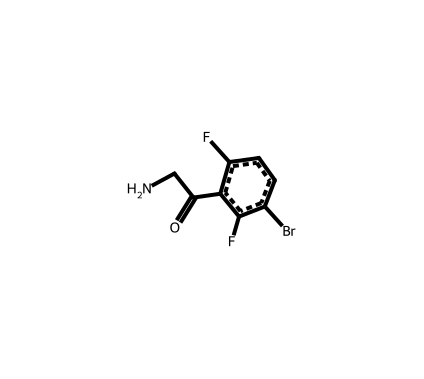 NCC(=O)c1c(F)ccc(Br)c1F